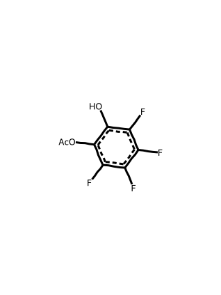 CC(=O)Oc1c(O)c(F)c(F)c(F)c1F